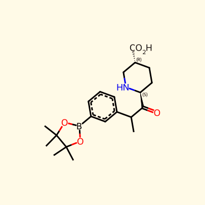 CC(C(=O)[C@@H]1CC[C@@H](C(=O)O)CN1)c1cccc(B2OC(C)(C)C(C)(C)O2)c1